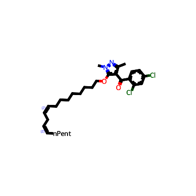 CCCCC/C=C\C/C=C\CCCCCCCCOc1c(C(=O)c2ccc(Cl)cc2Cl)c(C)nn1C